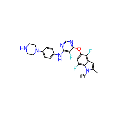 Cc1cc2c(F)c(Oc3ncnc(Nc4ccc(N5CCNCC5)cc4)c3F)cc(F)c2n1C(C)C